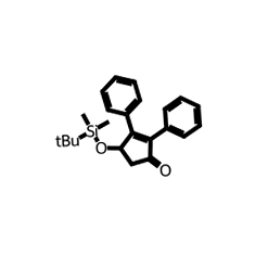 CC(C)(C)[Si](C)(C)OC1CC(=O)C(c2ccccc2)=C1c1ccccc1